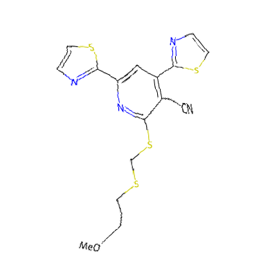 COCCSCSc1nc(-c2nccs2)cc(-c2nccs2)c1C#N